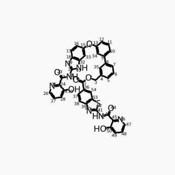 O=C(OCc1cccc(-c2cccc(Oc3ccc4nc(NC(=O)c5ncccc5O)[nH]c4c3)c2)c1)c1ccc2nc(NC(=O)c3ncccc3O)sc2c1